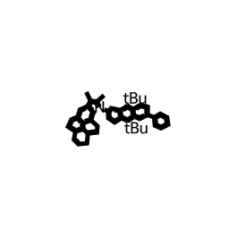 Cc1c(C)n(-c2ccc3c(C(C)(C)C)c4cc(-c5ccccc5)ccc4c(C(C)(C)C)c3c2)c2c3c4c5c(ccc4cc12)C=CCC5=CC3